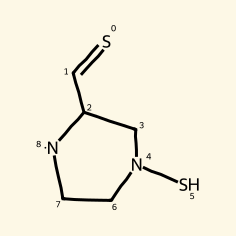 S=CC1CN(S)CC[N]1